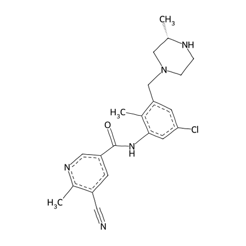 Cc1ncc(C(=O)Nc2cc(Cl)cc(CN3CCN[C@@H](C)C3)c2C)cc1C#N